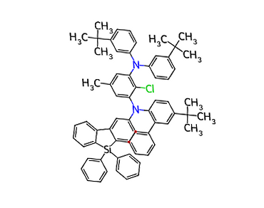 Cc1cc(N(c2cccc(C(C)(C)C)c2)c2cccc(C(C)(C)C)c2)c(Cl)c(N(c2ccc3c(c2)-c2ccccc2[Si]3(c2ccccc2)c2ccccc2)c2ccc(C(C)(C)C)cc2-c2ccccc2)c1